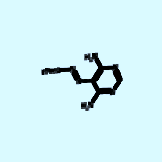 CCCCCN=Nc1c(N)ncnc1N